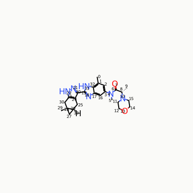 Cc1cc(N(C)C(=O)[C@H](C)N2CCOCC2)cc2nc(-c3n[nH]c4c3C[C@@H]3C[C@]3(C)C4)[nH]c12